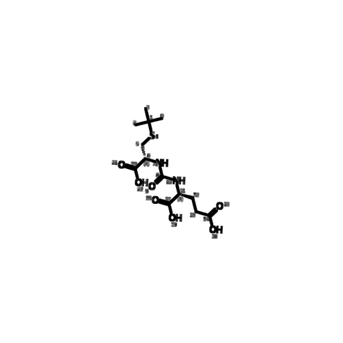 CC(C)(C)SC[C@H](NC(=O)N[C@@H](CCC(=O)O)C(=O)O)C(=O)O